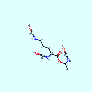 CC(N=C=O)OC(=O)C(CCCN=C=O)N=C=O